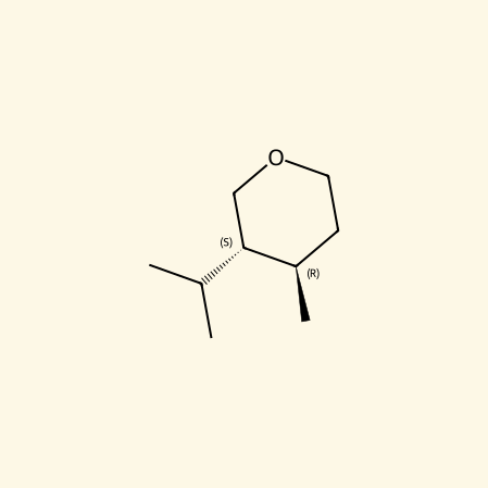 CC(C)[C@@H]1COCC[C@H]1C